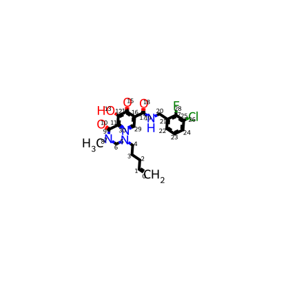 C=CCCCN1CN(C)C(=O)c2c(O)c(=O)c(C(=O)NCc3cccc(Cl)c3F)cn21